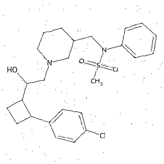 CS(=O)(=O)N(CC1CCCN(CC(O)C2CCC2c2ccc(Cl)cc2)C1)c1ccccc1